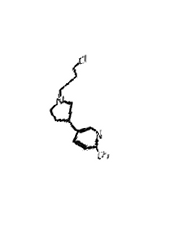 FC(F)(F)c1ccc(C2CCN(CCCCl)C2)cn1